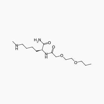 CCCOCCOCC(=O)N[C@@H](CCCCNC)C(N)=O